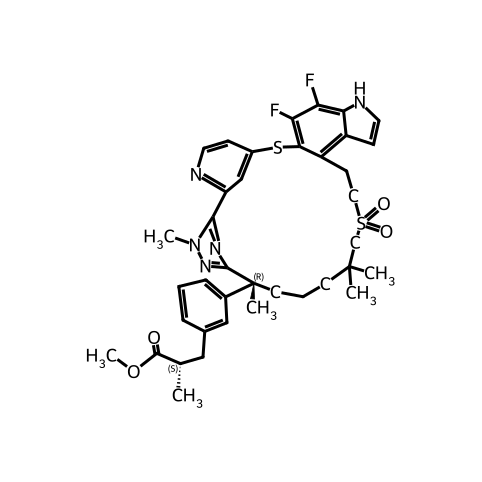 COC(=O)[C@@H](C)Cc1cccc([C@@]2(C)CCCC(C)(C)CS(=O)(=O)CCc3c(c(F)c(F)c4[nH]ccc34)Sc3ccnc(c3)-c3nc2nn3C)c1